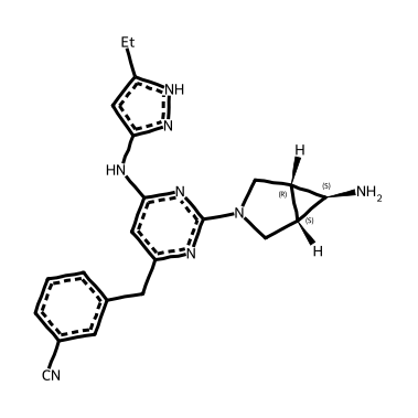 CCc1cc(Nc2cc(Cc3cccc(C#N)c3)nc(N3C[C@@H]4[C@@H](N)[C@@H]4C3)n2)n[nH]1